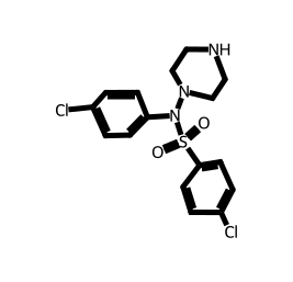 O=S(=O)(c1ccc(Cl)cc1)N(c1ccc(Cl)cc1)N1CCNCC1